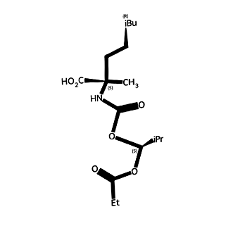 CCC(=O)O[C@@H](OC(=O)N[C@@](C)(CC[C@H](C)CC)C(=O)O)C(C)C